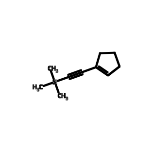 C[Si](C)(C)C#CC1=CCCC1